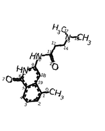 Cc1cccc2c(=O)[nH]c(NC(=O)CCN(C)C)cc12